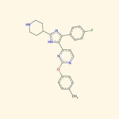 Cc1ccc(Oc2nccc(-c3[nH]c(C4CCNCC4)nc3-c3ccc(F)cc3)n2)cc1